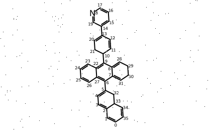 C1=CC2=CC=C(c3c4c(c(C5C=CC(c6cccnc6)=CC5)c5ccccc35)=CCCC=4)CC2C=C1